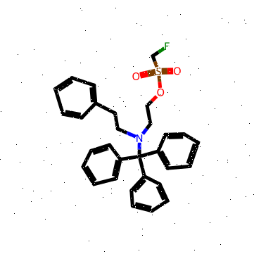 O=S(=O)(CF)OCCN(CCc1ccccc1)C(c1ccccc1)(c1ccccc1)c1ccccc1